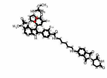 COC(=O)N[C@@H]1CC[C@@H](n2c(=O)n(C)c3cnc4[nH]c(-c5ccc(C(=O)NCCCCCNc6ccc7c(c6)C(=O)N(C6CCC(=O)NC6=O)C7=O)c(F)c5)c(-c5ccc(OC)c(F)c5)c4c32)C1